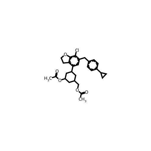 CC(=O)OCC1CC(OC(C)=O)CC(c2cc(Cc3ccc(C4CC4)cc3)c(Cl)c3c2CCO3)C1